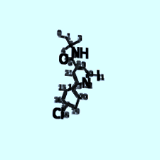 CCC(C)(C)NC(=O)c1cc(I)nc(-c2ccc(Cl)cc2)c1